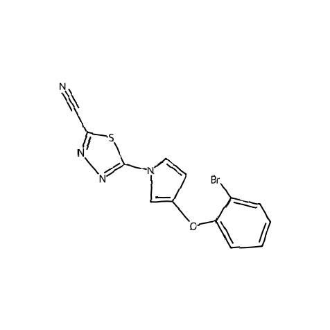 N#Cc1nnc(-n2ccc(Oc3ccccc3Br)c2)s1